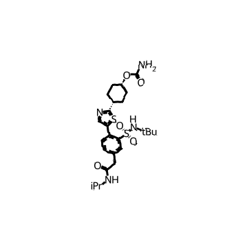 CC(C)NC(=O)Cc1ccc(-c2cnc([C@H]3CC[C@H](OC(N)=O)CC3)s2)c(S(=O)(=O)NC(C)(C)C)c1